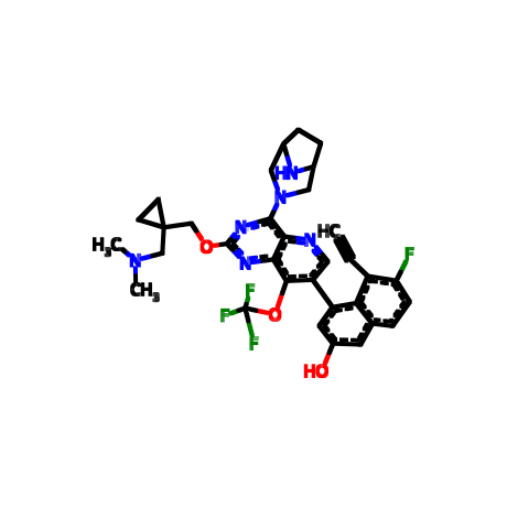 C#Cc1c(F)ccc2cc(O)cc(-c3cnc4c(N5CC6CCC(C5)N6)nc(OCC5(CN(C)C)CC5)nc4c3OC(F)(F)F)c12